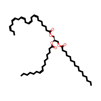 CC/C=C\C/C=C\C/C=C\C/C=C\C/C=C\CCCCCC(=O)OC[C@@H](COC(=O)CCCCCCCCCCCCCCC)OC(=O)CCCCCCC/C=C\CCCCCC